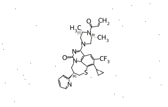 C=CC(=O)N1[C@H](C)CN(c2nc(=O)n3c4c(c(C5CC5)c(C(F)(F)F)cc24)SC[C@@H](c2ccccn2)C3)C[C@@H]1C